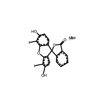 O=C1OC2(c3ccccc31)c1ccc(O)c(I)c1Oc1c2ccc(O)c1I.[Na].[Na]